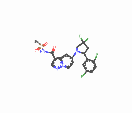 CC(C)(C)S(=O)(=O)NC(=O)c1cnn2ccc(N3CC(F)(F)CC3c3cc(F)ccc3F)cc12